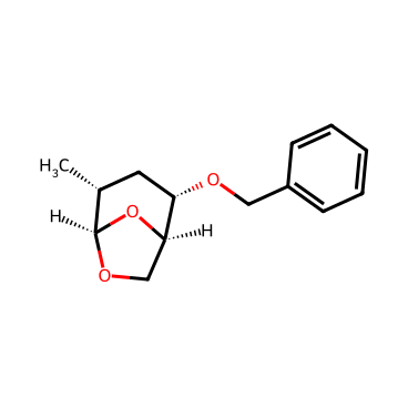 C[C@@H]1C[C@H](OCc2ccccc2)[C@H]2CO[C@@H]1O2